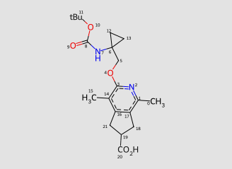 Cc1nc(OCC2(NC(=O)OC(C)(C)C)CC2)c(C)c2c1CC(C(=O)O)C2